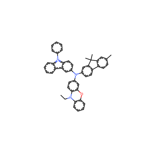 CCN1c2ccccc2Oc2cc(N(c3ccc4c(c3)C(C)(C)c3cc(C)ccc3-4)c3ccc4c(c3)c3ccccc3n4-c3ccccc3)ccc21